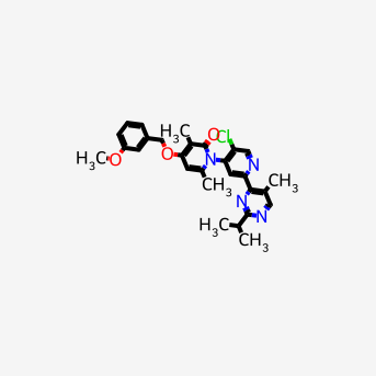 COc1cccc(COc2cc(C)n(-c3cc(-c4nc(C(C)C)ncc4C)ncc3Cl)c(=O)c2C)c1